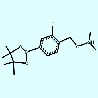 C[SiH](C)OCc1ccc(B2OC(C)(C)C(C)(C)O2)cc1F